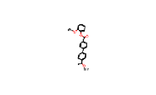 CCCOc1ccccc1OC(=O)c1ccc(-c2ccc(C(C)OCCC)cc2)cc1